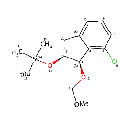 COCO[C@@H]1c2c(Cl)cccc2C[C@@H]1O[Si](C)(C)C(C)(C)C